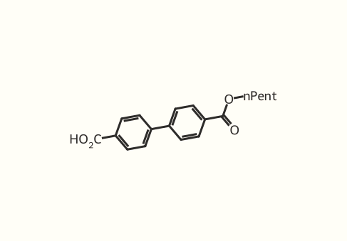 CCCCCOC(=O)c1ccc(-c2ccc(C(=O)O)cc2)cc1